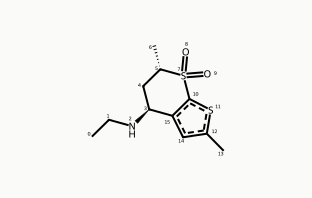 CCN[C@H]1C[C@H](C)S(=O)(=O)c2sc(C)cc21